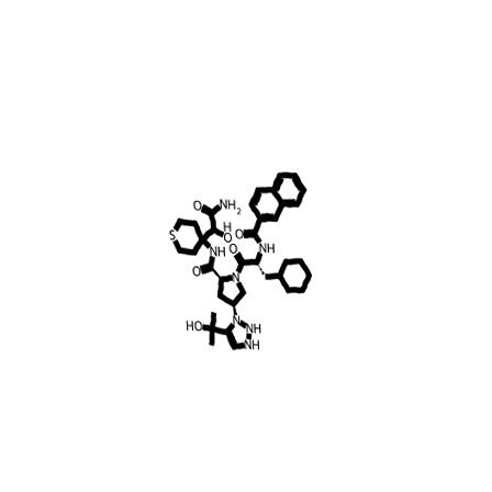 CC(C)(O)C1=CNNN1[C@H]1C[C@@H](C(=O)NC2(C(O)C(N)=O)CCSCC2)N(C(=O)[C@@H](CC2CCCCC2)NC(=O)c2ccc3ccccc3c2)C1